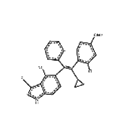 COc1ccc(/C(=C(\c2[c]cccc2)c2ccc3[nH]nc(F)c3c2C#N)C2CC2)c(Cl)c1